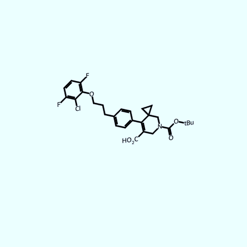 CC(C)(C)OC(=O)N1CC(C(=O)O)=C(c2ccc(CCCOc3c(F)ccc(F)c3Cl)cc2)C2(CC2)C1